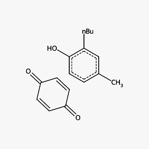 CCCCc1cc(C)ccc1O.O=C1C=CC(=O)C=C1